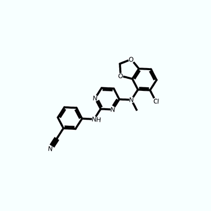 CN(c1ccnc(Nc2cccc(C#N)c2)n1)c1c(Cl)ccc2c1OCO2